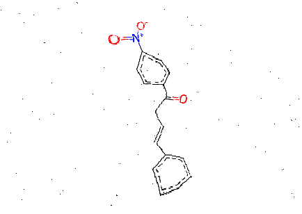 O=C(CC=Cc1ccccc1)c1ccc([N+](=O)[O-])cc1